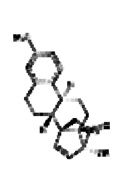 COc1ccc2c(c1)CC[C@@H]1[C@@H]2CC[C@@]2(C)[C@]13C=C[C@]2(O)C(=O)C3